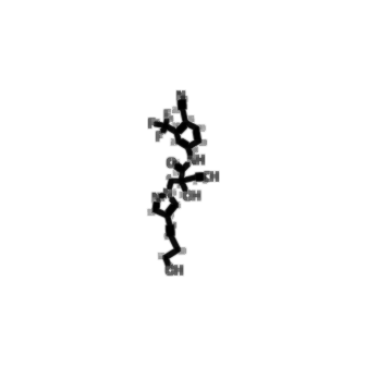 C#CC(O)(Cn1cc(C#CCCO)cn1)C(=O)Nc1ccc(C#N)c(C(F)(F)F)c1